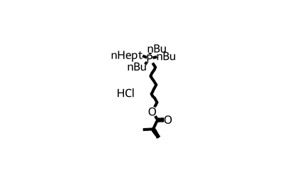 C=C(C)C(=O)OCCCCCP(CCCC)(CCCC)(CCCC)CCCCCCC.Cl